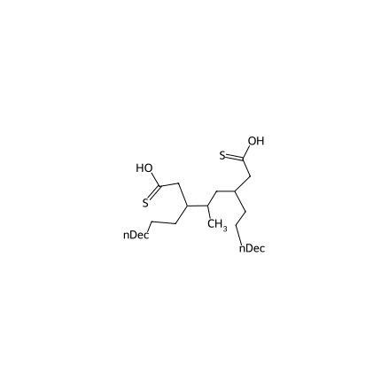 CCCCCCCCCCCCC(CC(O)=S)CC(C)C(CCCCCCCCCCCC)CC(O)=S